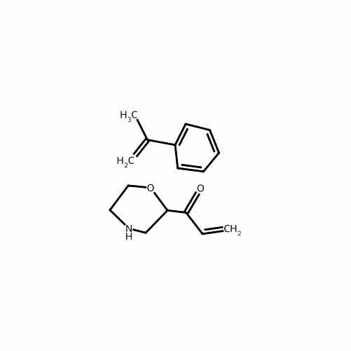 C=C(C)c1ccccc1.C=CC(=O)C1CNCCO1